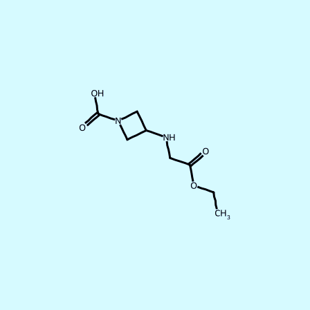 CCOC(=O)CNC1CN(C(=O)O)C1